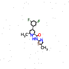 Cc1cc(-c2cc(F)cc(F)c2)cc(C(=O)Nc2ncc(C)s2)n1